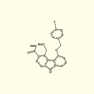 CNC(=O)c1ncc2[nH]c3cccc(OCc4ccc(F)cc4)c3c2c1COC